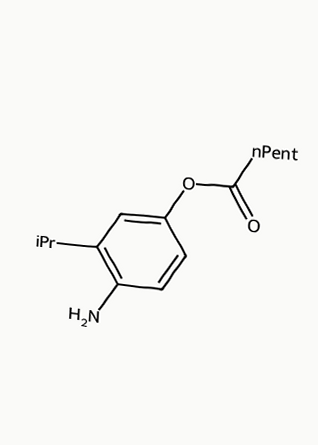 CCCCCC(=O)Oc1ccc(N)c(C(C)C)c1